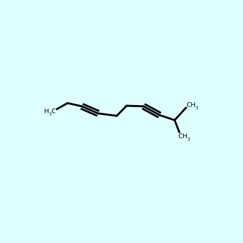 CCC#CC[CH]C#CC(C)C